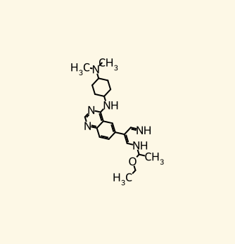 CCOC(C)N/C=C(\C=N)c1ccc2ncnc(NC3CCC(N(C)C)CC3)c2c1